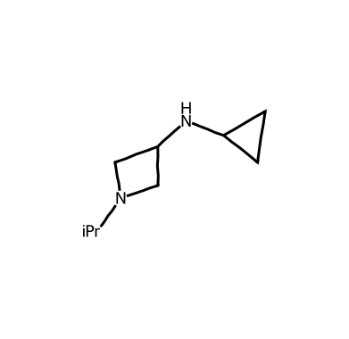 CC(C)N1CC(NC2CC2)C1